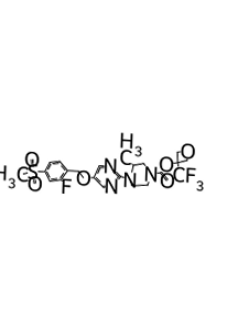 CC1CN(C(=O)OC2(C(F)(F)F)COC2)CCN1c1ncc(OCc2ccc(S(C)(=O)=O)cc2F)cn1